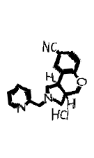 Cl.N#Cc1ccc2c(c1)[C@@H]1CN(Cc3ccccn3)C[C@H]1CO2